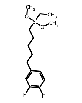 CC[Si](CCCCCc1ccc(F)c(F)c1)(OC)OC